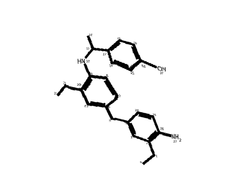 CCc1cc(Cc2ccc(NC(C)c3ccc(O)cc3)c(CC)c2)ccc1N